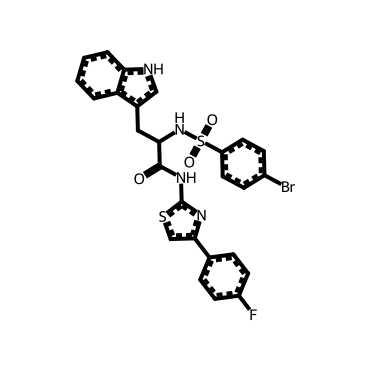 O=C(Nc1nc(-c2ccc(F)cc2)cs1)C(Cc1c[nH]c2ccccc12)NS(=O)(=O)c1ccc(Br)cc1